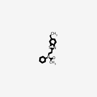 CCc1ccc2nc(C=CN(C(C)=O)c3ccccc3)sc2c1